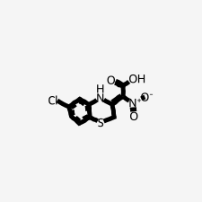 O=C(O)/C(=C1/CSc2ccc(Cl)cc2N1)[N+](=O)[O-]